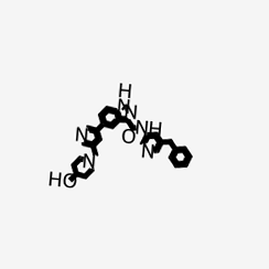 O=C(Nc1cncc(Cc2ccccc2)c1)c1n[nH]c2ccc(-c3cncc(CN4CCC(O)CC4)c3)cc12